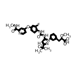 CNC(=O)c1cc(Oc2ccc(NC(=O)Nc3cc(C(C)(C)C)nn3-c3cccc(CC(OC)C(=O)O)c3)c(F)c2)ccn1